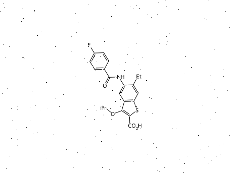 CCc1cc2sc(C(=O)O)c(OC(C)C)c2cc1NC(=O)c1ccc(F)cc1